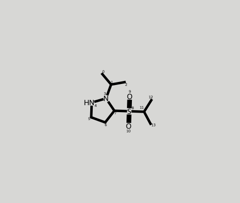 CC(C)N1NCCC1S(=O)(=O)C(C)C